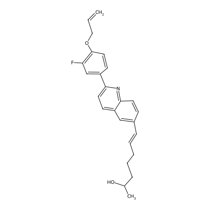 C=CCOc1ccc(-c2ccc3cc(C=CCCCC(C)O)ccc3n2)cc1F